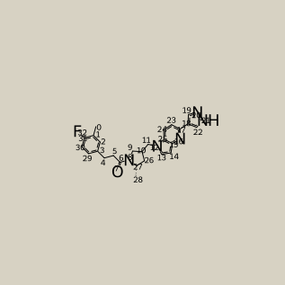 Cc1cc(CCC(=O)N2CC(Cn3ccc4nc(-c5cn[nH]c5)ccc43)C[C@@H]2C)ccc1F